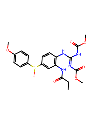 CCC(=O)Nc1cc([S+]([O-])c2ccc(OC)cc2)ccc1NC(=NC(=O)OC)NC(=O)OC